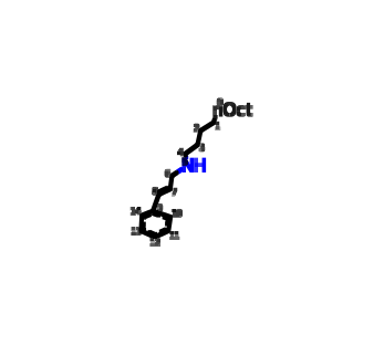 CCCCCCCCCCCCNCC=Cc1ccccc1